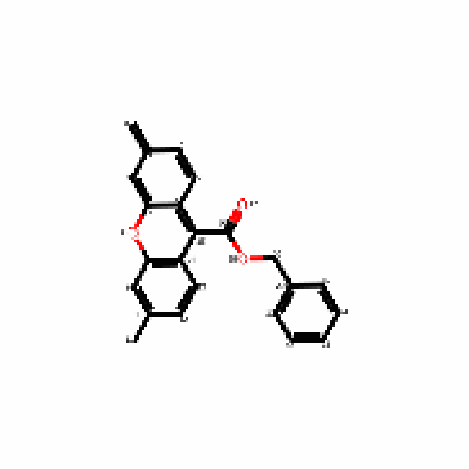 C=c1ccc2c(c1)Oc1cc(C)ccc1C=2C(=O)OCc1ccccc1